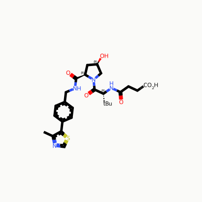 Cc1ncsc1-c1ccc(CNC(=O)[C@H]2C[C@@H](O)CN2C(=O)[C@H](NC(=O)CCC(=O)O)C(C)(C)C)cc1